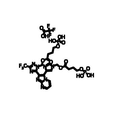 O=C(CCCOP(=O)(O)O)OCn1cnc(-c2c(-c3nc(C(F)(F)F)nn3COC(=O)CCCOP(=O)(O)O)nc3ncccn23)c1.O=C(O)C(F)(F)F